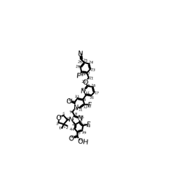 CC1(C)COC[C@H]1n1c(Cn2cc(F)c(-c3cccc(OCc4ccc(C#N)cc4F)n3)cc2=O)nc2c(F)cc(C(=O)O)cc21